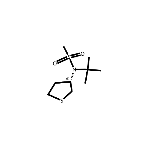 CC(C)(C)N([C@H]1CCSC1)S(C)(=O)=O